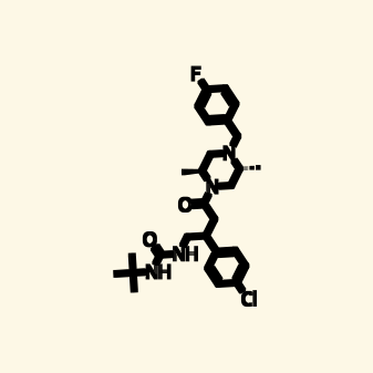 C[C@@H]1CN(C(=O)CC(CNC(=O)NC(C)(C)C)c2ccc(Cl)cc2)[C@@H](C)CN1Cc1ccc(F)cc1